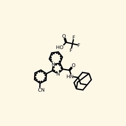 N#Cc1cccc(-c2nc(C(=O)NC34CC5CC(CC(C5)C3)C4)c3ccccn23)c1.O=C(O)C(F)(F)F